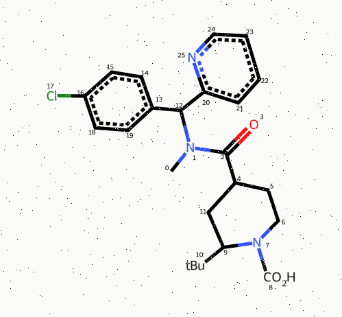 CN(C(=O)C1CCN(C(=O)O)C(C(C)(C)C)C1)C(c1ccc(Cl)cc1)c1ccccn1